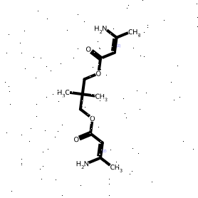 C/C(N)=C/C(=O)OCC(C)(C)COC(=O)/C=C(/C)N